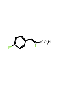 O=C(O)C(F)=Cc1ccc(F)cc1